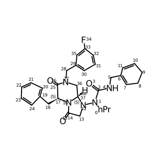 CCCN(C(=O)NCC1=CCCC=C1)N1CC(=O)N2[C@@H](Cc3ccccc3)C(=O)N(Cc3cccc(F)c3)C[C@@H]21